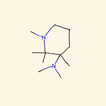 CN1CCCC(C)(N(C)C)C1(C)C